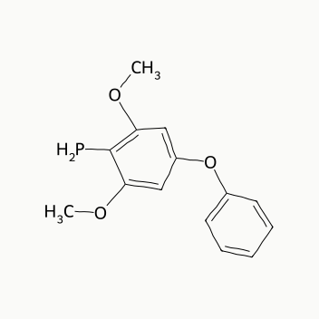 COc1cc(Oc2ccccc2)cc(OC)c1P